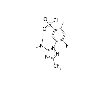 Cc1cc(F)c(-n2nc(C(F)(F)F)nc2N(C)C)cc1S(=O)(=O)Cl